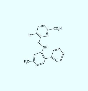 CCc1ccc(C(=O)O)cc1SNc1cc(C(F)(F)F)ccc1-c1ccccc1